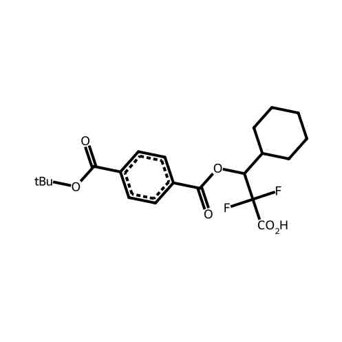 CC(C)(C)OC(=O)c1ccc(C(=O)OC(C2CCCCC2)C(F)(F)C(=O)O)cc1